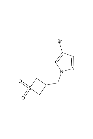 O=S1(=O)CC(Cn2cc(Br)cn2)C1